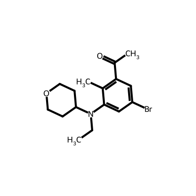 CCN(c1cc(Br)cc(C(C)=O)c1C)C1CCOCC1